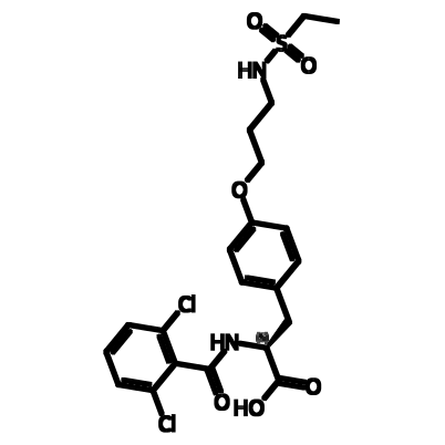 CCS(=O)(=O)NCCCOc1ccc(C[C@H](NC(=O)c2c(Cl)cccc2Cl)C(=O)O)cc1